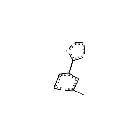 Clc1cc[c]c(-c2nnn[nH]2)c1